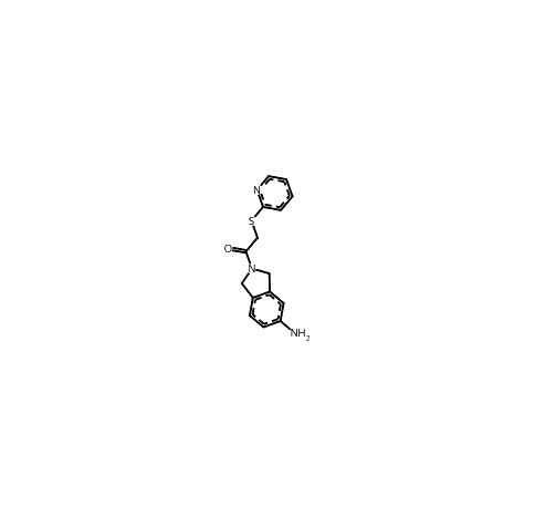 Nc1ccc2c(c1)CN(C(=O)CSc1ccccn1)C2